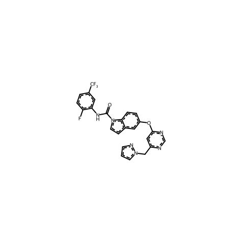 O=C(Nc1cc(C(F)(F)F)ccc1F)n1ccc2cc(Oc3cc(Cn4cccn4)ncn3)ccc21